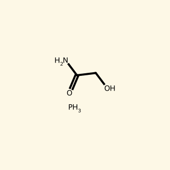 NC(=O)CO.P